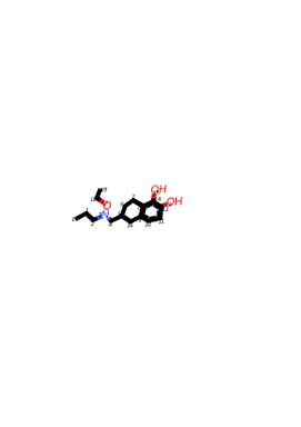 CCCN(CC1CCc2c(ccc(O)c2O)C1)OCC